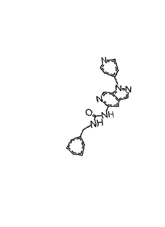 O=C(NCc1ccccc1)Nc1cc2cnn(-c3ccncc3)c2cn1